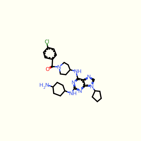 NC1CCC(Nc2nc(NC3CCN(C(=O)c4ccc(Cl)cc4)CC3)c3ncn(C4CCCC4)c3n2)CC1